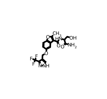 Cc1oc2ccc(OCc3c[nH]nc3C(F)(F)F)cc2c1C(=O)NC(CO)C(N)=O